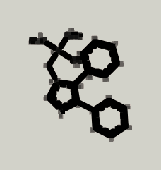 CO[Si](Cn1cnc(-c2ccccc2)c1-c1ccccc1)(OC)OC